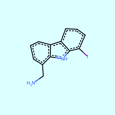 NCc1cccc2c1[nH]c1c(I)cccc12